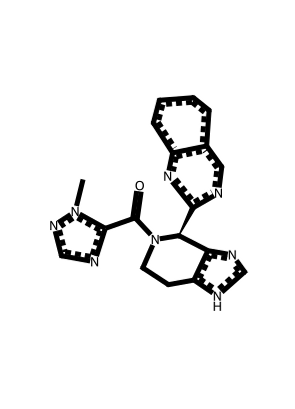 Cn1ncnc1C(=O)N1CCc2[nH]cnc2[C@@H]1c1ncc2ccccc2n1